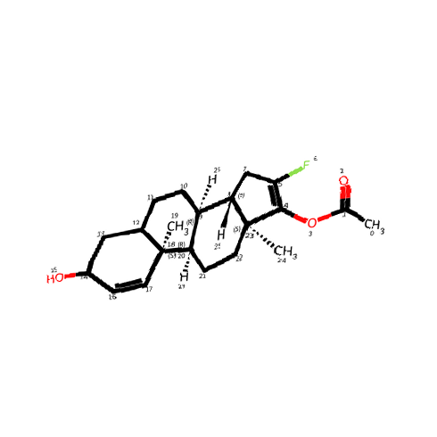 CC(=O)OC1=C(F)C[C@H]2[C@@H]3CCC4CC(O)C=C[C@]4(C)[C@@H]3CC[C@]12C